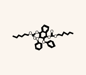 CCCCCCOC(=O)Oc1c(Oc2ccccc2)c(Oc2ccccc2)c(OC(=O)OCCCCCC)c2ccccc12